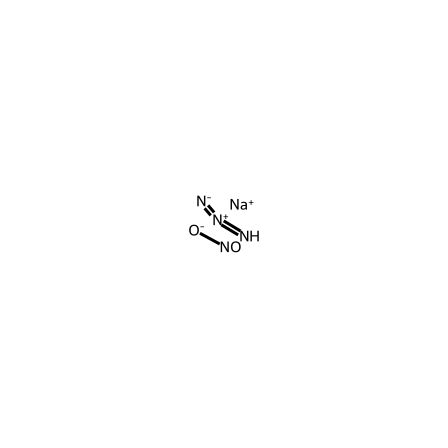 O=N[O-].[N-]=[N+]=N.[Na+]